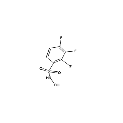 O=S(=O)(NO)c1ccc(F)c(F)c1F